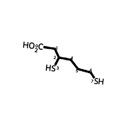 O=C(O)CC(S)CCCS